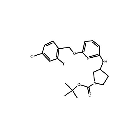 CC(C)(C)OC(=O)N1CCC(Nc2cccc(OCc3ccc(Cl)cc3F)n2)C1